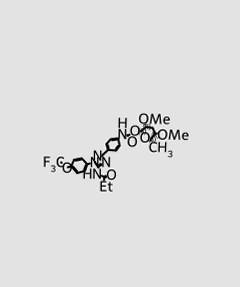 CCC(=O)Nc1nc(-c2ccc(NC(=O)O[C@@H]3O[C@@H](C)[C@H](OC)C[C@H]3OC)cc2)nn1-c1ccc(OC(F)(F)F)cc1